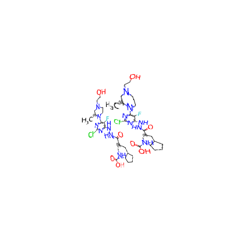 C[C@@H]1CN(CCO)CCN1c1nc(Cl)nc(NNC(=O)[C@@H](CNC(=O)O)CC2CCCC2)c1F.C[C@@H]1CN(CCO)CCN1c1nc(Cl)nc(NNC(=O)[C@@H](CNC(=O)O)CC2CCCC2)c1F